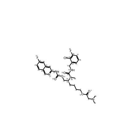 CN(C)CC(=O)OCCCC[C@@H](COC(=O)Nc1cc2cc(F)ccc2cn1)N(C)C(=O)NCc1cccc(F)c1Cl